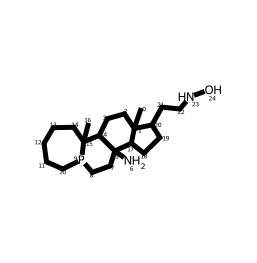 CC12CCC3C(N)(CCP4CCCCCC34C)C1CCC2CCNO